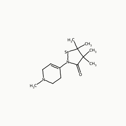 CN1CC=C(N2[Se]C(C)(C)C(C)(C)C2=O)CC1